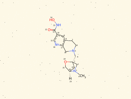 CN1C[C@@]2(CN3CCc4cc(C(=O)NO)cnc4C3)C[C@@H]1CO2